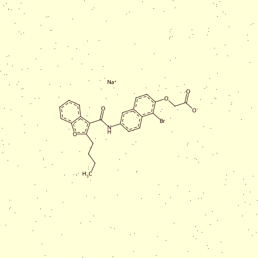 CCCCc1oc2ccccc2c1C(=O)Nc1ccc2c(Br)c(OCC(=O)[O-])ccc2c1.[Na+]